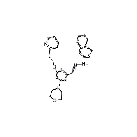 C(=N\Nc1ccc2ccccc2c1)/c1nc(OCCc2ccccn2)cc(N2CCOCC2)n1